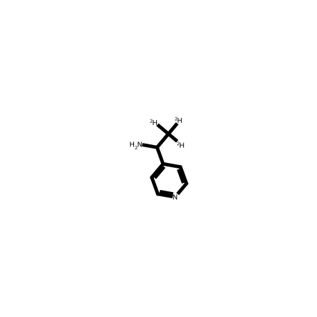 [2H]C([2H])([2H])C(N)c1ccncc1